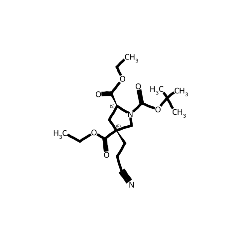 CCOC(=O)[C@@H]1C[C@@](CCC#N)(C(=O)OCC)CN1C(=O)OC(C)(C)C